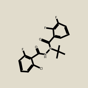 CC(C)(C)N(NC(=O)c1c(F)cccc1Cl)C(=O)c1cccc(F)c1F